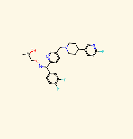 C[C@@H](O)CON=C(c1ccc(F)c(F)c1)c1ccc(CN2CCC(c3ccc(F)nc3)CC2)cn1